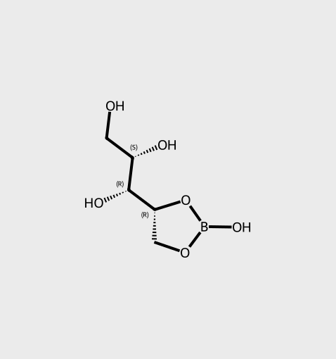 OC[C@H](O)[C@@H](O)[C@H]1COB(O)O1